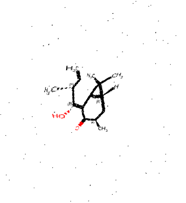 C=C[C@@H](C)[C@@H](O)C1C(=O)[C@H](C)C[C@@H]2C1C2(C)C